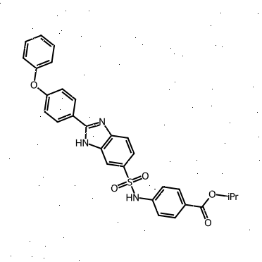 CC(C)OC(=O)c1ccc(NS(=O)(=O)c2ccc3nc(-c4ccc(Oc5ccccc5)cc4)[nH]c3c2)cc1